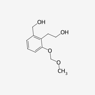 COCOc1cccc(CO)c1CCO